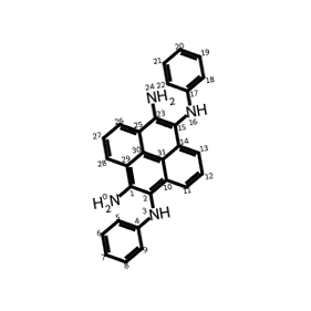 Nc1c(Nc2ccccc2)c2cccc3c(Nc4ccccc4)c(N)c4cccc1c4c23